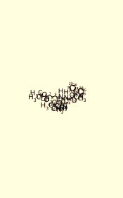 CC(C)(C)OC(=O)CCCC(NC(=O)N[C@@H](CCN=[N+]=[N-])C(=O)OC(C)(c1ccccc1)c1ccccc1Cl)C(=O)OC(C)(C)C